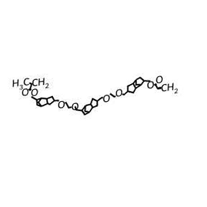 C=CC(=O)OCC1CC2CC1C1CC(COCCOCC3CC4C5CC(COCCOCC6CC7C8CC(COC(=O)C(=C)C)C(C8)C7C6)C(C5)C4C3)CC21